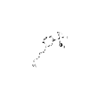 CCCCCc1[c]ccc(C(C)(C)C)c1